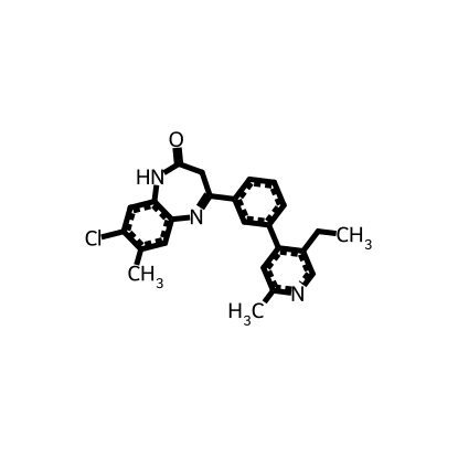 CCc1cnc(C)cc1-c1cccc(C2=Nc3cc(C)c(Cl)cc3NC(=O)C2)c1